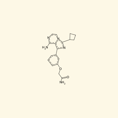 NC(=O)COc1cccc(-c2nc(C3CCC3)n3ccnc(N)c23)c1